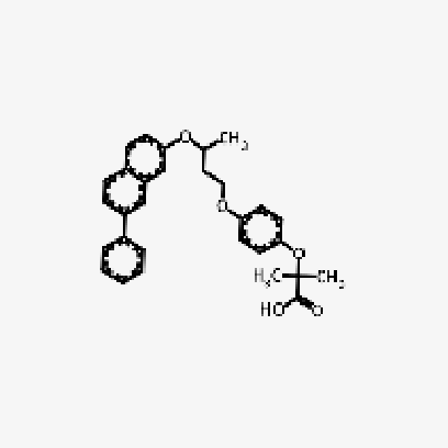 CC(CCOc1ccc(OC(C)(C)C(=O)O)cc1)Oc1ccc2ccc(-c3ccccc3)cc2c1